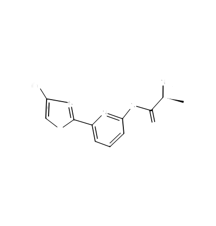 CC(C)c1csc(-c2cccc(NC(=O)[C@H](C)N)n2)n1